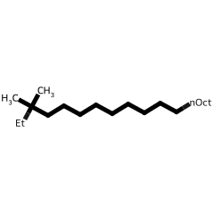 CCCCCCCCCCCCCCCCCC(C)(C)CC